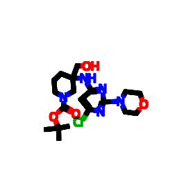 CC(C)(C)OC(=O)N1CCCC(CO)(Nc2cc(Cl)nc(N3CCOCC3)n2)C1